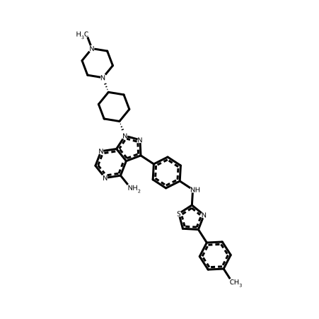 Cc1ccc(-c2csc(Nc3ccc(-c4nn([C@H]5CC[C@@H](N6CCN(C)CC6)CC5)c5ncnc(N)c45)cc3)n2)cc1